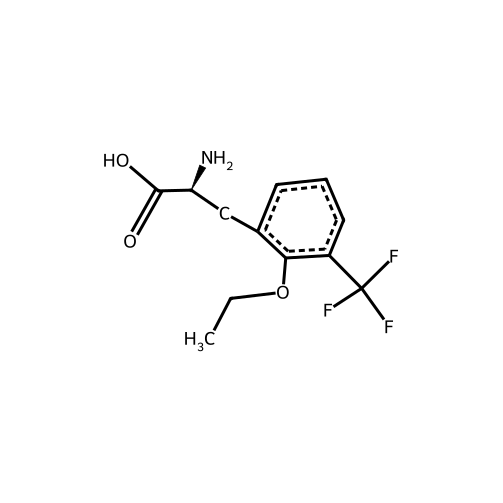 CCOc1c(C[C@H](N)C(=O)O)cccc1C(F)(F)F